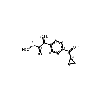 C=C(C(=O)OC)c1ccc(C(=O)C2CC2)cc1